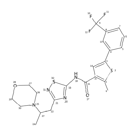 Cc1sc(-c2cccc(C(F)(F)F)c2)cc1C(=O)Nc1nc(CC(C)N2CCOCC2)ns1